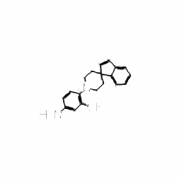 Nc1ccc(N2CCC3(C=Cc4ccccc43)CC2)c(C(F)(F)F)c1